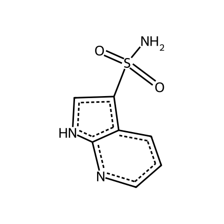 NS(=O)(=O)c1c[nH]c2ncccc12